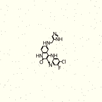 N#Cc1c(Nc2ccc(F)c(Cl)c2)c2cc(NCc3cnc[nH]3)ccc2[nH]c1=O